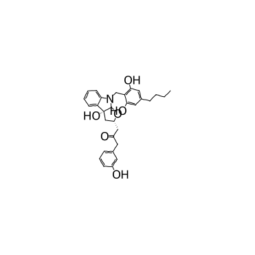 CCCCc1cc(O)c(CN2c3ccccc3[C@]3(O)C[C@@H](CC(=O)Cc4cccc(O)c4)OC23)c(O)c1